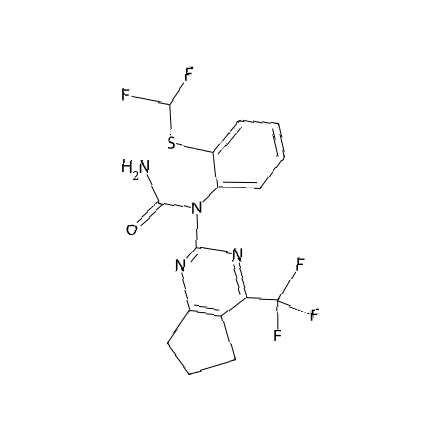 NC(=O)N(c1nc2c(c(C(F)(F)F)n1)CCC2)c1ccccc1SC(F)F